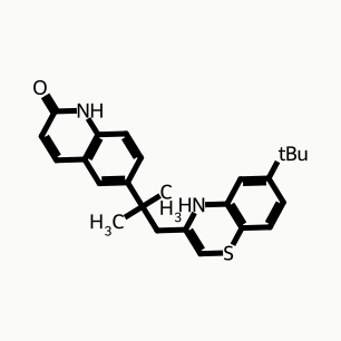 CC(C)(C)c1ccc2c(c1)NC(CC(C)(C)c1ccc3[nH]c(=O)ccc3c1)=CS2